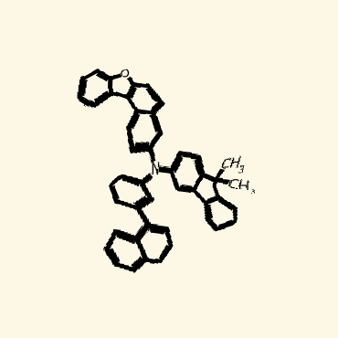 CC1(C)c2ccccc2-c2cc(N(c3cccc(-c4cccc5ccccc45)c3)c3ccc4c(ccc5oc6ccccc6c54)c3)ccc21